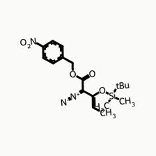 CC=C(O[Si](C)(C)C(C)(C)C)C(=[N+]=[N-])C(=O)OCc1ccc([N+](=O)[O-])cc1